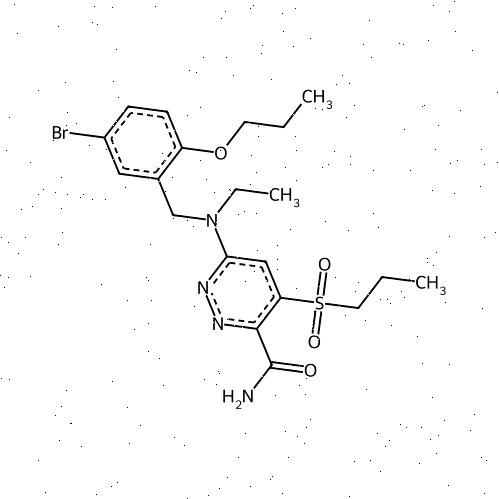 CCCOc1ccc(Br)cc1CN(CC)c1cc(S(=O)(=O)CCC)c(C(N)=O)nn1